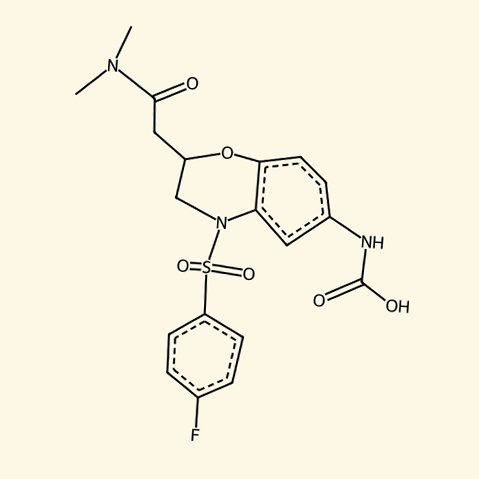 CN(C)C(=O)CC1CN(S(=O)(=O)c2ccc(F)cc2)c2cc(NC(=O)O)ccc2O1